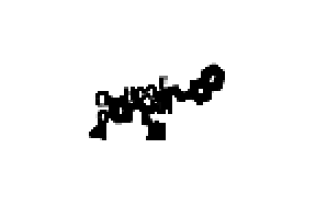 O=C(NC(CN1CCC1)C(O)c1ccc(OC2CC2)c(Cl)c1)C(F)(F)CCc1ccc2ccccc2c1